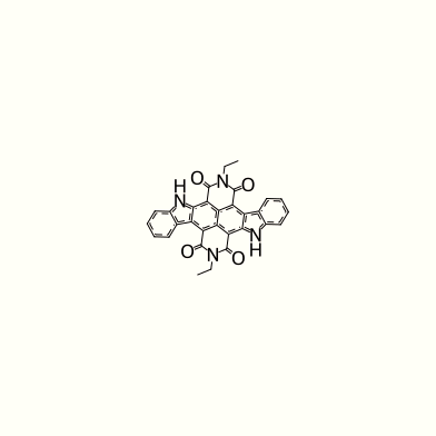 CCN1C(=O)c2c3[nH]c4ccccc4c3c3c4c(c5[nH]c6ccccc6c5c(c24)C1=O)C(=O)N(CC)C3=O